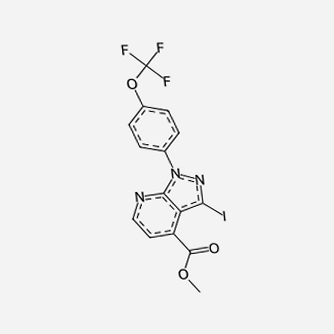 COC(=O)c1ccnc2c1c(I)nn2-c1ccc(OC(F)(F)F)cc1